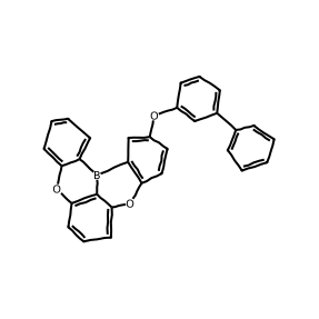 c1ccc(-c2cccc(Oc3ccc4c(c3)B3c5ccccc5Oc5cccc(c53)O4)c2)cc1